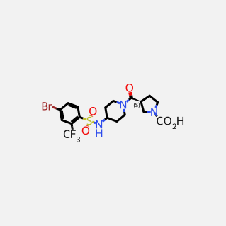 O=C(O)N1CC[C@H](C(=O)N2CCC(NS(=O)(=O)c3ccc(Br)cc3C(F)(F)F)CC2)C1